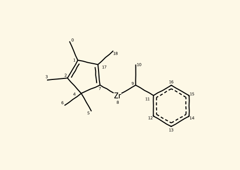 CC1=C(C)C(C)(C)[C]([Zr][CH](C)c2ccccc2)=C1C